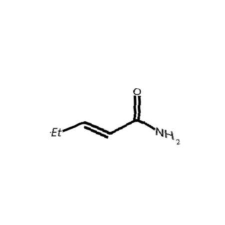 C[CH]C=CC(N)=O